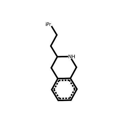 CC(C)CCC1Cc2ccccc2CN1